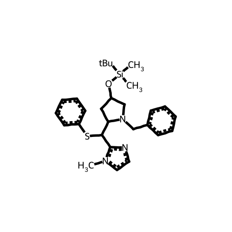 Cn1ccnc1C(Sc1ccccc1)C1CC(O[Si](C)(C)C(C)(C)C)CN1Cc1ccccc1